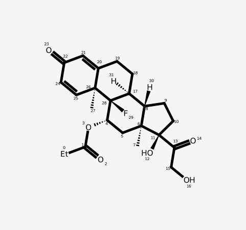 CCC(=O)O[C@H]1C[C@@]2(C)[C@@H](CC[C@]2(O)C(=O)CO)[C@@H]2CCC3=CC(=O)C=C[C@]3(C)[C@@]12F